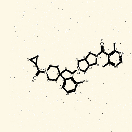 Cc1ncnc(C)c1C(=O)N1CC2CN(CCC3(c4cccc(F)c4)CCN(C(=O)C4CC4)CC3)CC2C1